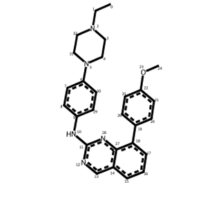 CCN1CCN(c2ccc(Nc3ncc4cccc(-c5ccc(OC)cc5)c4n3)cc2)CC1